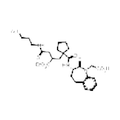 CCOC(=O)C(CC(=O)NCCCOC(C)=O)CC1(C(=O)N[C@H]2CCc3ccccc3N(CC(=O)O)C2=O)CCCC1